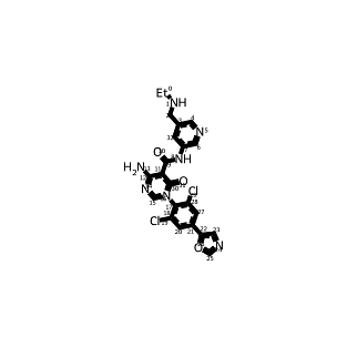 CCNCc1cncc(NC(=O)c2c(N)ncn(-c3c(Cl)cc(-c4cnco4)cc3Cl)c2=O)c1